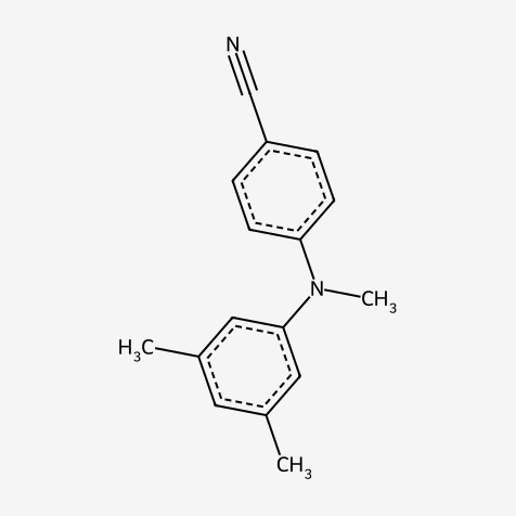 Cc1cc(C)cc(N(C)c2ccc(C#N)cc2)c1